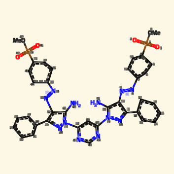 COS(=O)(=O)c1ccc(/N=N/c2c(-c3ccccc3)nn(-c3cc(-n4nc(-c5ccccc5)c(/N=N/c5ccc(S(=O)(=O)OC)cc5)c4N)ncn3)c2N)cc1